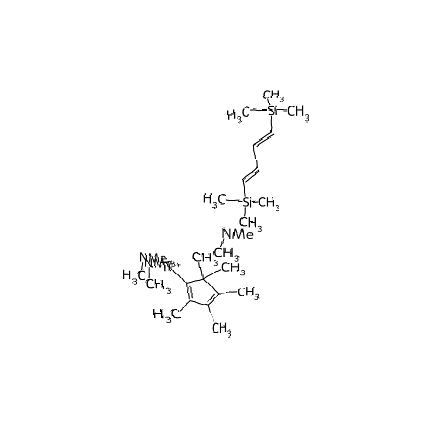 CC1=C(C)C(C)(C)[C]([Ti+3])=C1C.C[N-]C.C[N-]C.C[N-]C.C[Si](C)(C)C=CC=C[Si](C)(C)C